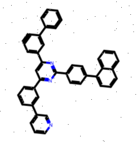 C1=C=C(c2c#ccc(-c3cc(-c4cccc(-c5cccnc5)c4)nc(-c4ccc(-c5cccc6ccccc56)cc4)n3)c2)C=CC=1